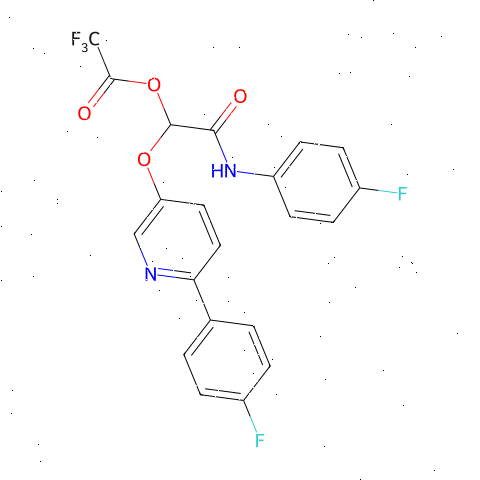 O=C(Nc1ccc(F)cc1)C(OC(=O)C(F)(F)F)Oc1ccc(-c2ccc(F)cc2)nc1